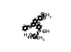 C[C@@H]1CN(CCOc2ccc(Oc3c(-c4ccc(S(C)(=O)=O)cc4)ccc4cc(OCc5ccccc5)ccc34)cc2)[C@@H](C)CN1.Cl